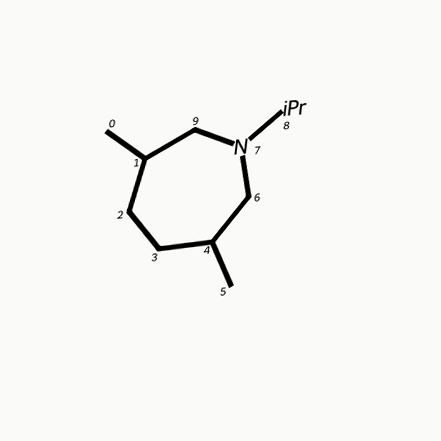 CC1CCC(C)CN(C(C)C)C1